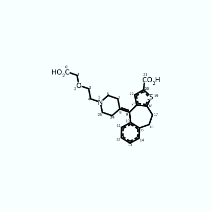 O=C(O)COCCN1CCC(=C2c3ccccc3CCc3sc(C(=O)O)cc32)CC1